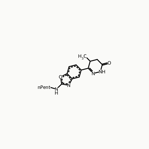 CCCCCNc1nc2cc(C3=NNC(=O)CC3C)ccc2o1